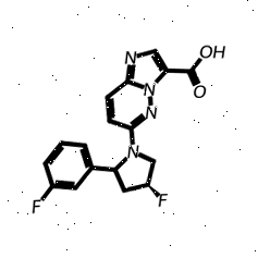 O=C(O)c1cnc2ccc(N3C[C@@H](F)CC3c3cccc(F)c3)nn12